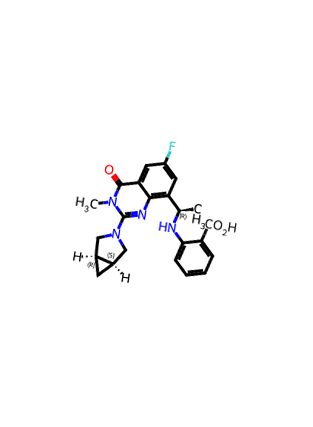 C[C@@H](Nc1ccccc1C(=O)O)c1cc(F)cc2c(=O)n(C)c(N3C[C@H]4C[C@H]4C3)nc12